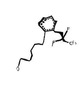 [O]CCCCc1ccccc1C(F)(F)C(F)(F)F